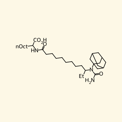 CCCCCCCCC(NC(=O)CCCCCCCCC(CC)N(C(N)=O)C12CC3CC(CC(C3)C1)C2)C(=O)O